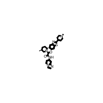 C[C@H]1CC[C@H](c2ccc3sc(C4=CCN(C)CC4)nc3c2)N(C(=O)C(=O)Nc2ccn3ccnc3c2)C1